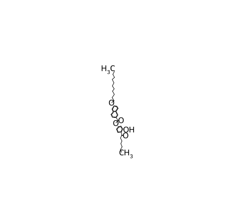 CCCCCCCCCCCCOc1ccc2cc(C(=O)Oc3ccc(C(=O)CCCCCC)c(O)c3)ccc2c1